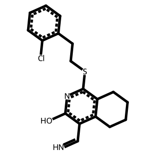 N=Cc1c(O)nc(SCCc2ccccc2Cl)c2c1CCCC2